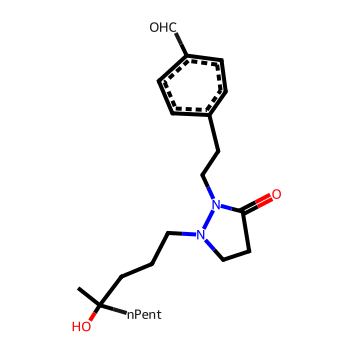 CCCCCC(C)(O)CCCN1CCC(=O)N1CCc1ccc(C=O)cc1